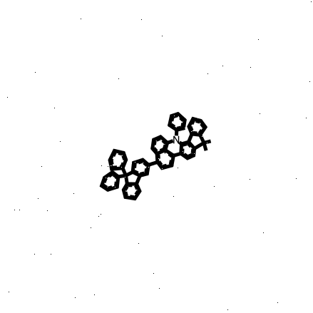 CC1(C)c2ccccc2-c2c1ccc1c2N(c2ccccc2)c2cccc3c(-c4ccc5c(c4)-c4ccccc4C5(c4ccccc4)c4ccccc4)ccc-1c23